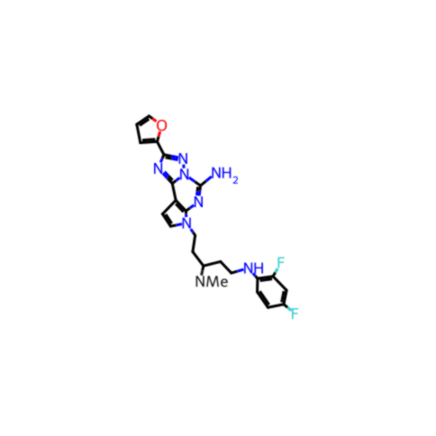 CNC(CCNc1ccc(F)cc1F)CCn1ccc2c1nc(N)n1nc(-c3ccco3)nc21